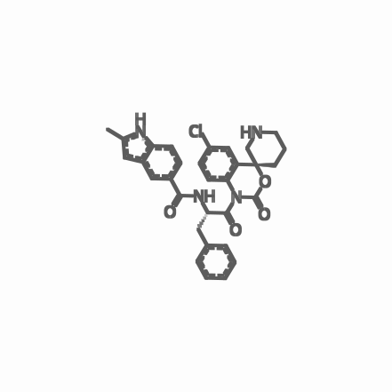 Cc1cc2cc(C(=O)N[C@@H](Cc3ccccc3)C(=O)N3C(=O)O[C@]4(CCCNC4)c4cc(Cl)ccc43)ccc2[nH]1